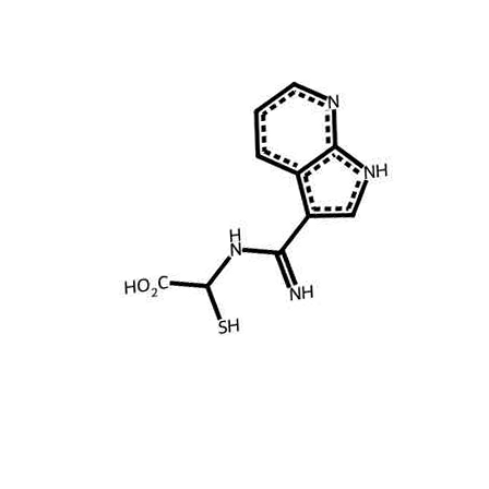 N=C(NC(S)C(=O)O)c1c[nH]c2ncccc12